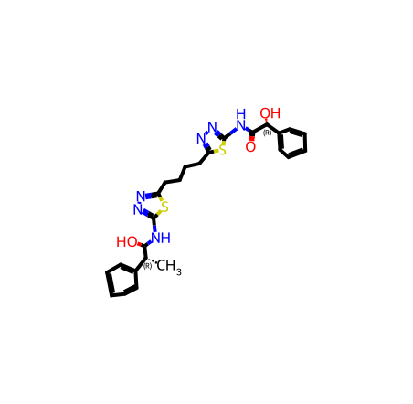 C[C@H](c1ccccc1)C(O)Nc1nnc(CCCCc2nnc(NC(=O)[C@H](O)c3ccccc3)s2)s1